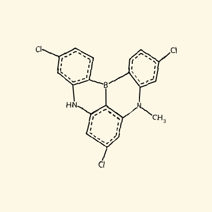 CN1c2cc(Cl)ccc2B2c3ccc(Cl)cc3Nc3cc(Cl)cc1c32